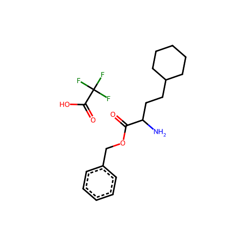 NC(CCC1CCCCC1)C(=O)OCc1ccccc1.O=C(O)C(F)(F)F